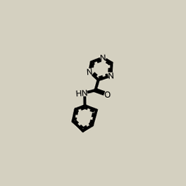 O=C(Nc1ccccc1)c1ncncn1